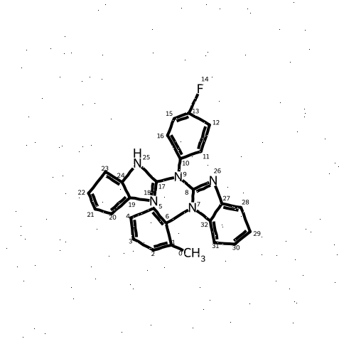 Cc1ccccc1-n1c(N(c2ccc(F)cc2)c2nc3ccccc3[nH]2)nc2ccccc21